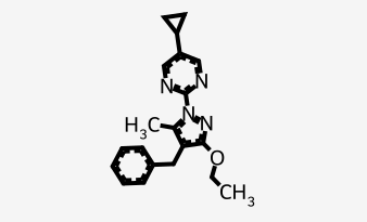 CCOc1nn(-c2ncc(C3CC3)cn2)c(C)c1Cc1ccccc1